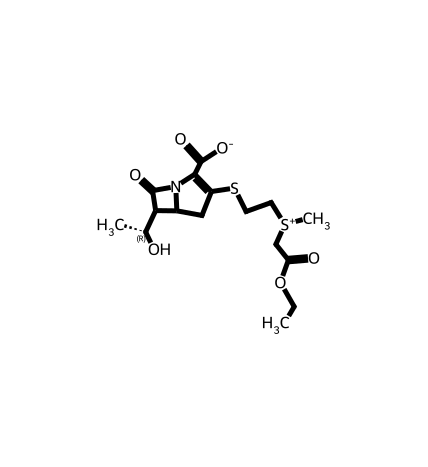 CCOC(=O)C[S+](C)CCSC1=C(C(=O)[O-])N2C(=O)C([C@@H](C)O)C2C1